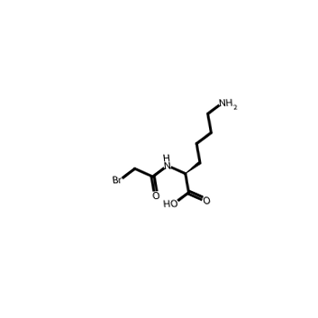 NCCCC[C@H](NC(=O)CBr)C(=O)O